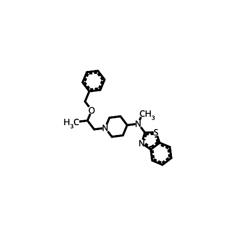 CC(CN1CCC(N(C)c2nc3ccccc3s2)CC1)OCc1ccccc1